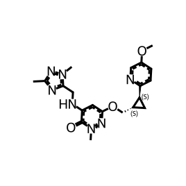 COc1ccc([C@H]2C[C@@H]2COc2cc(NCc3nc(C)nn3C)c(=O)n(C)n2)nc1